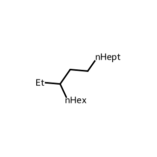 CCCCCCCCCC(CC)CCCCCC